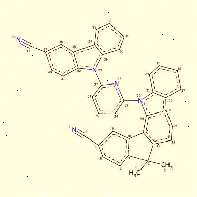 CC1(C)c2ccc(C#N)cc2-c2c1ccc1c3ccccc3n(-c3cccc(-n4c5ccccc5c5cc(C#N)ccc54)n3)c21